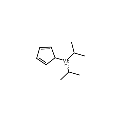 C[CH](C)[MoH2]([CH](C)C)[CH]1C=CC=C1